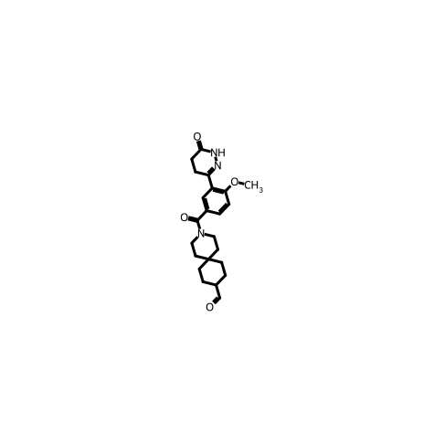 COc1ccc(C(=O)N2CCC3(CCC(C=O)CC3)CC2)cc1C1=NNC(=O)CC1